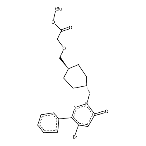 CC(C)(C)OC(=O)COC[C@H]1CC[C@H](Cn2nc(-c3ccccc3)c(Br)cc2=O)CC1